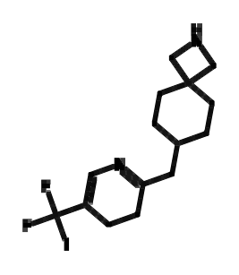 FC(F)(I)C1=CN=C(CC2CCC3(CC2)CNC3)CC1